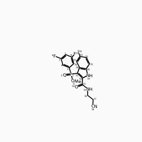 COP(=O)(c1cc(F)cc(F)c1)c1c(C(=O)NCCC#N)[nH]c2ccc(I)cc12